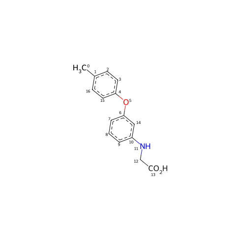 Cc1ccc(Oc2cccc(NCC(=O)O)c2)cc1